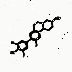 CCCCC1CCC2c3cc(F)c(-c4cc(F)c(C#N)c(F)c4)cc3CCC2C1